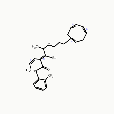 C/C=C\C(C(=O)Nc1ccccc1C(F)(F)F)=C(\C(C)CC)C(C)OCCC/C1=C/C/C=C\C=C/C1